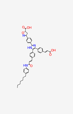 CCCCCCCc1ccc(NC(=O)/C=C/c2ccc(-c3[nH]c(-c4ccc(C5=NOC(C(=O)O)C5)cc4)nc3-c3ccc(/C=C/C(=O)O)cc3)cc2)cc1